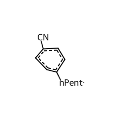 CCCC[CH]c1ccc(C#N)cc1